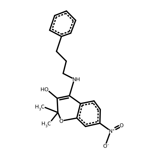 CC1(C)Oc2cc([N+](=O)[O-])ccc2C(NCCCc2ccccc2)=C1O